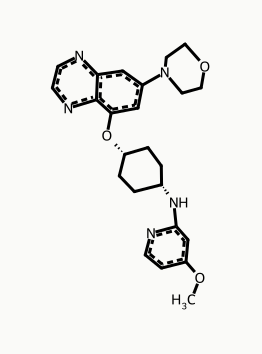 COc1ccnc(N[C@H]2CC[C@@H](Oc3cc(N4CCOCC4)cc4nccnc34)CC2)c1